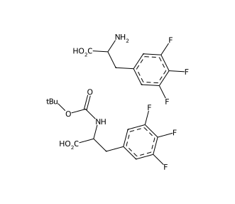 CC(C)(C)OC(=O)NC(Cc1cc(F)c(F)c(F)c1)C(=O)O.NC(Cc1cc(F)c(F)c(F)c1)C(=O)O